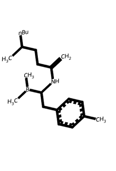 C=C(CCC(C)CCCC)NC(Cc1ccc(C)cc1)B(C)C